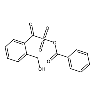 O=C(OS(=O)(=O)C(=O)c1ccccc1CO)c1ccccc1